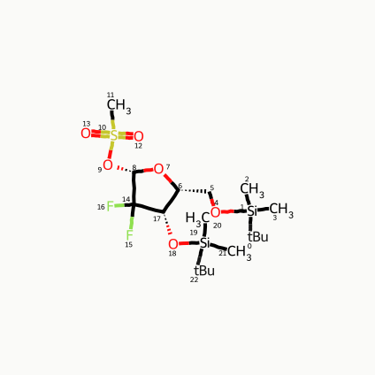 CC(C)(C)[Si](C)(C)OC[C@H]1O[C@@H](OS(C)(=O)=O)C(F)(F)[C@H]1O[Si](C)(C)C(C)(C)C